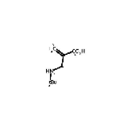 C=C(CNC(C)(C)C)C(=O)O